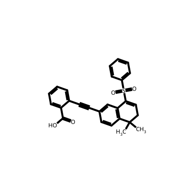 CC1(C)CC=C(S(=O)(=O)c2ccccc2)c2cc(C#Cc3ccccc3C(=O)O)ccc21